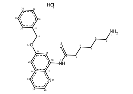 Cl.NCCCCCC(=O)Nc1cc(OCc2ccccc2)cc2cccnc12